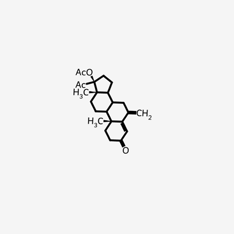 C=C1CC2C(CC[C@@]3(C)C2CC[C@@]3(OC(C)=O)C(C)=O)[C@@]2(C)CCC(=O)C=C12